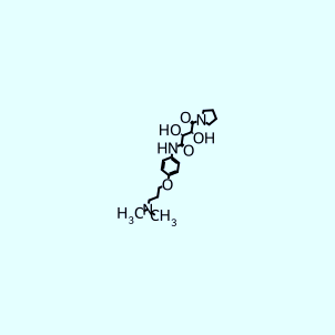 CN(C)CCCOc1ccc(NC(=O)[C@H](O)[C@@H](O)C(=O)N2CCCC2)cc1